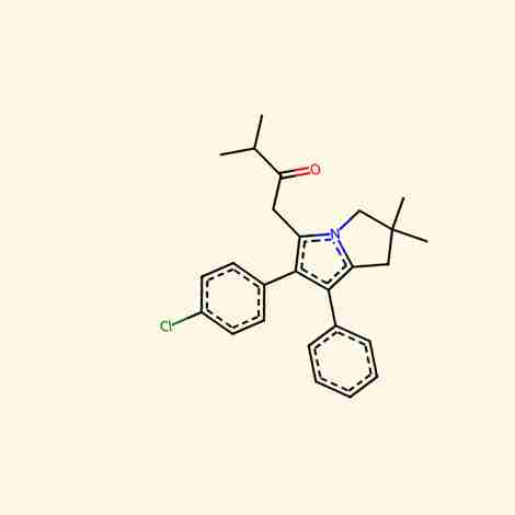 CC(C)C(=O)Cc1c(-c2ccc(Cl)cc2)c(-c2ccccc2)c2n1CC(C)(C)C2